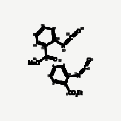 CCOC(=O)c1ccccc1N=C=O.COC(=O)c1ccccc1N=C=O